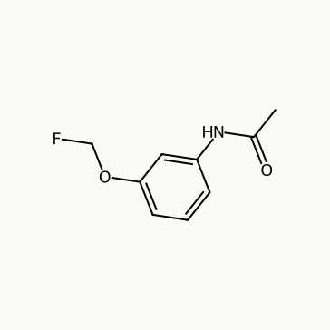 CC(=O)Nc1cccc(OCF)c1